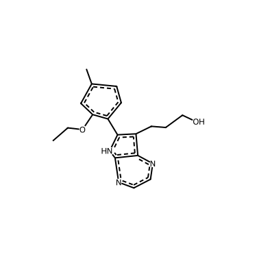 CCOc1cc(C)ccc1-c1[nH]c2nccnc2c1CCCO